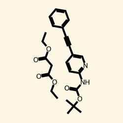 CC(C)(C)OC(=O)Nc1ccc(C#Cc2ccccc2)cn1.CCOC(=O)CC(=O)OCC